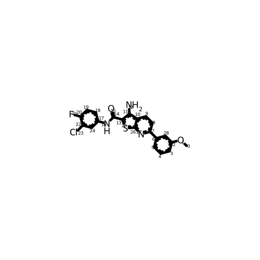 COc1cccc(-c2ccc3c(N)c(C(=O)Nc4ccc(F)c(Cl)c4)sc3n2)c1